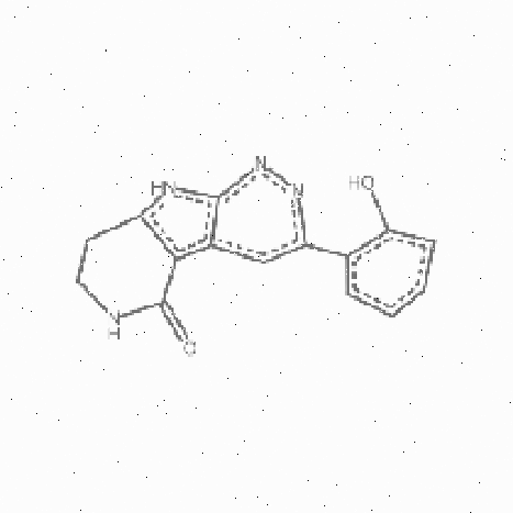 O=C1NCCc2[nH]c3nnc(-c4ccccc4O)cc3c21